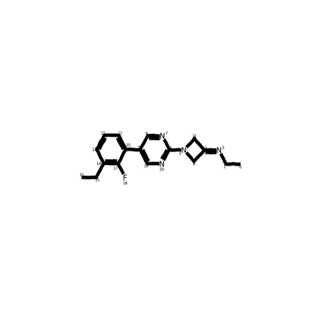 CCN=C1CN(c2ncc(-c3cccc(CC)c3F)cn2)C1